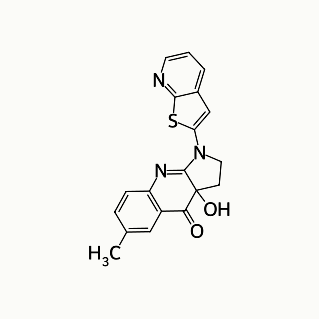 Cc1ccc2c(c1)C(=O)C1(O)CCN(c3cc4cccnc4s3)C1=N2